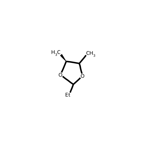 CCC1OC(C)[C@H](C)O1